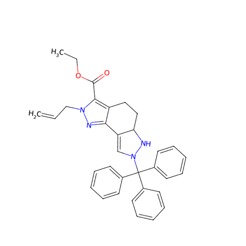 C=CCn1nc2c(c1C(=O)OCC)CCC1NN(C(c3ccccc3)(c3ccccc3)c3ccccc3)C=C21